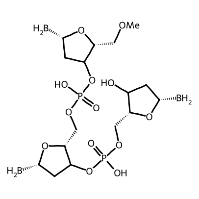 B[C@H]1CC(O)[C@@H](COP(=O)(O)OC2C[C@H](B)O[C@@H]2COP(=O)(O)OC2C[C@H](B)O[C@@H]2COC)O1